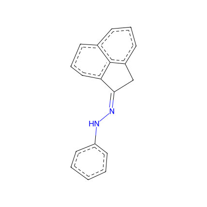 c1ccc(NN=C2Cc3cccc4cccc2c34)cc1